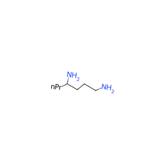 [CH2]CCC(N)CCCN